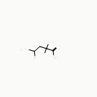 CCCCC(CC)CC(C)(C)C(N)=O